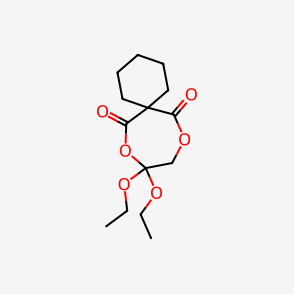 CCOC1(OCC)COC(=O)C2(CCCCC2)C(=O)O1